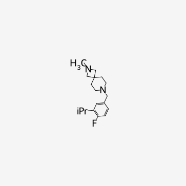 CC(C)c1cc(CN2CCC3(CC2)CN(C)C3)ccc1F